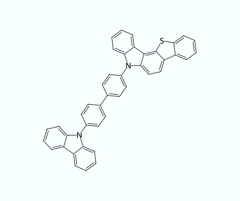 c1ccc2c(c1)sc1c2ccc2c1c1ccccc1n2-c1ccc(-c2ccc(-n3c4ccccc4c4ccccc43)cc2)cc1